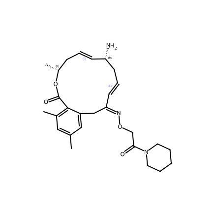 Cc1cc(C)c2c(c1)CC(=NOCC(=O)N1CCCCC1)/C=C/C[C@@H](N)/C=C/C[C@@H](C)OC2=O